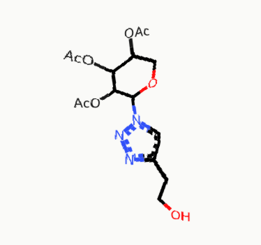 CC(=O)OC1COC(n2cc(CCO)nn2)C(OC(C)=O)C1OC(C)=O